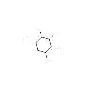 O[C@H]1[C@H](O)[C@@H](O)C[C@H](C(F)(F)F)[C@H]1O